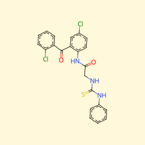 O=C(CNC(=S)Nc1ccccc1)Nc1ccc(Cl)cc1C(=O)c1ccccc1Cl